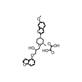 COc1ccc2cc([C@@H]3CCN(C[C@H](O)COc4cccc5occc45)[C@H](C)C3)sc2c1.O=C(O)C(=O)O